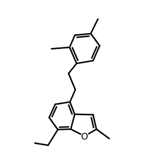 CCc1ccc(CCc2ccc(C)cc2C)c2cc(C)oc12